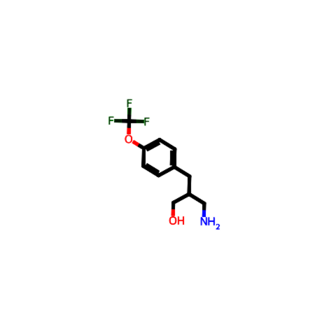 NCC(CO)Cc1ccc(OC(F)(F)F)cc1